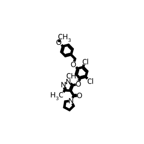 COc1ccc(COc2cc(Oc3c(C(=O)N4CCCC4)c(C)nn3C)c(Cl)cc2Cl)cc1